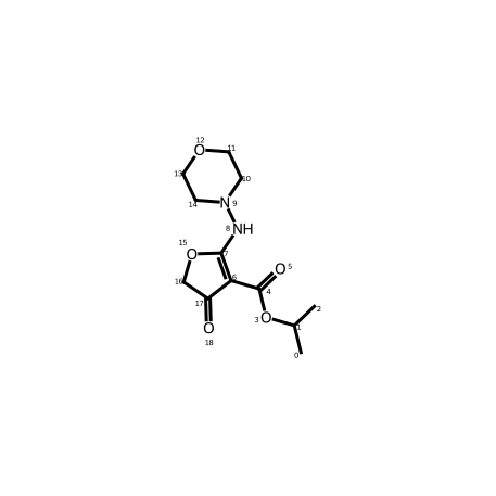 CC(C)OC(=O)C1=C(NN2CCOCC2)OCC1=O